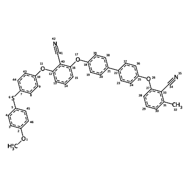 COc1ccc(Sc2ccc(Oc3cccc(Oc4ccc(-c5ccc(Oc6cccc(C)c6C#N)cc5)cc4)c3C#N)cc2)cc1